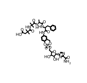 CC(NC(=O)C(C)(C)NC(=O)C(C)(C)CC(=O)O)C(=O)NC(Cc1ccccc1)C(=O)Nc1ccc2c(c1)COP(=O)(OCC1OC(n3cnc(C(N)=O)n3)C(O)C1O)O2